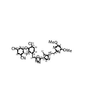 COc1cc(OC)nc(CSc2ncc(-c3nnc(Cc4ccc(Cl)c(Oc5cc(Cl)cc(C#N)c5)c4F)o3)n2C)n1